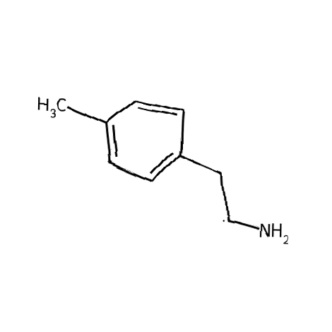 Cc1ccc(C[CH]N)cc1